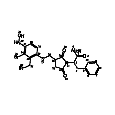 CNC(=O)[C@H](Cc1ccccc1)N1C(=O)CC(CSc2ccc(NO)c(Br)c2CC(C)C)C1=O